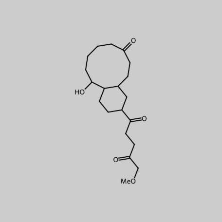 COCC(=O)CCC(=O)C1CCC2C(O)CCCCC(=O)CCC2C1